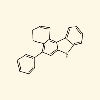 C1=Cc2c(c(-c3ccccc3)cc3[nH]c4ccccc4c23)CC1